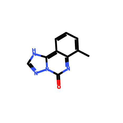 Cc1cccc2c1nc(=O)n1nc[nH]c21